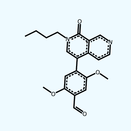 CCCCn1cc(-c2cc(OC)c(C=O)cc2OC)c2ccncc2c1=O